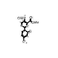 COC(=O)c1nc(-c2ccc(C(F)(F)F)cc2Cl)ncc1OC